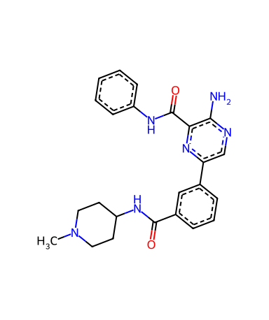 CN1CCC(NC(=O)c2cccc(-c3cnc(N)c(C(=O)Nc4ccccc4)n3)c2)CC1